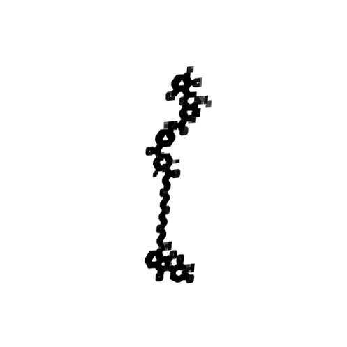 CC(Oc1cc(C(=O)Nc2ccc(C(=O)N3C[C@@H](C)N(C(=O)CCOCCOCCOCCNc4cccc5c4C(=O)N(C4CCC(=O)NC4=O)C5=O)[C@@H](C)C3)cc2)nnc1N)c1c(Cl)ccc(F)c1Cl